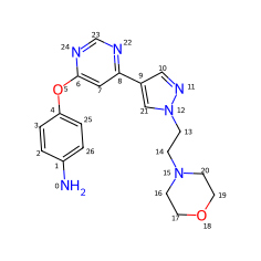 Nc1ccc(Oc2cc(-c3cnn(CCN4CCOCC4)c3)ncn2)cc1